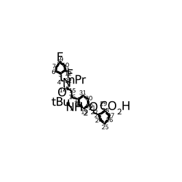 CC(C)(C)N.CCCN(Cc1ccc(F)cc1F)C(=O)CCc1ccc(OCc2ccccc2C(=O)O)cc1